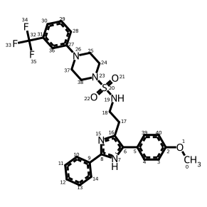 COc1ccc(-c2[nH]c(-c3ccccc3)nc2CCNS(=O)(=O)N2CCN(c3cccc(C(F)(F)F)c3)CC2)cc1